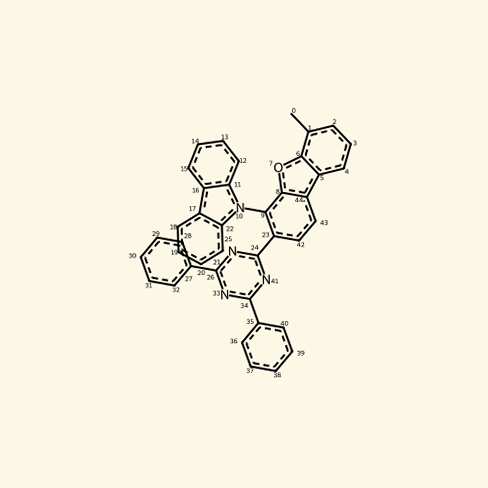 Cc1cccc2c1oc1c(-n3c4ccccc4c4ccccc43)c(-c3nc(-c4ccccc4)nc(-c4ccccc4)n3)ccc12